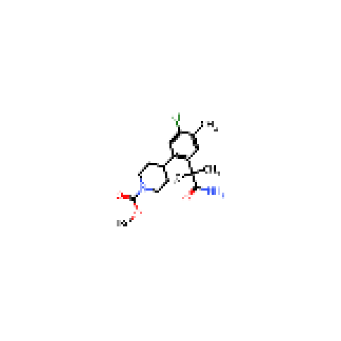 Cc1cc(C(C)(C)C(N)=O)c(C2CCN(C(=O)OC(C)(C)C)CC2)cc1Cl